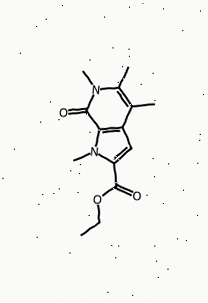 CCOC(=O)c1cc2c(C)c(C)n(C)c(=O)c2n1C